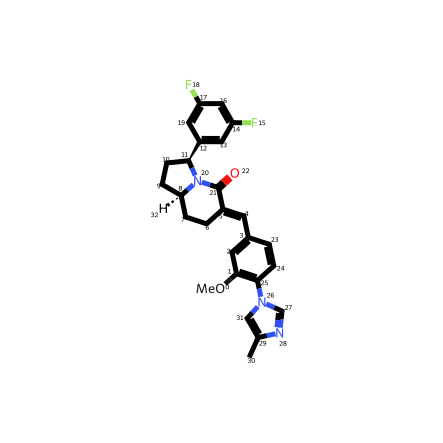 COc1cc(C=C2CC[C@H]3CC[C@@H](c4cc(F)cc(F)c4)N3C2=O)ccc1-n1cnc(C)c1